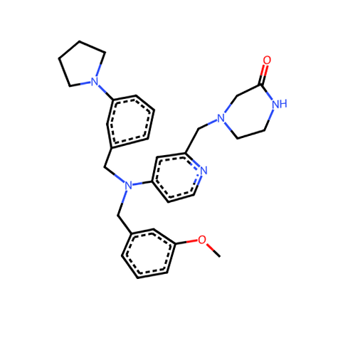 COc1cccc(CN(Cc2cccc(N3CCCC3)c2)c2ccnc(CN3CCNC(=O)C3)c2)c1